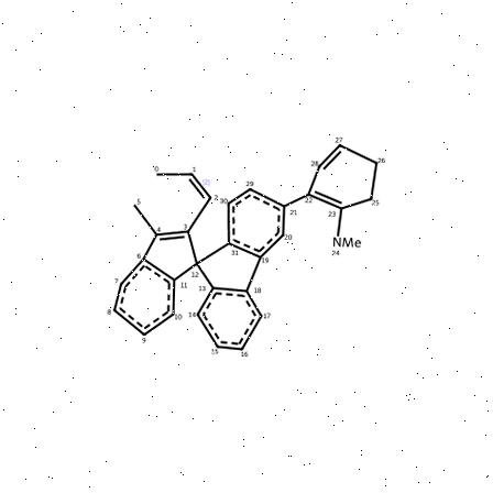 C/C=C\C1=C(C)c2ccccc2C12c1ccccc1-c1cc(C3=C(NC)CCC=C3)ccc12